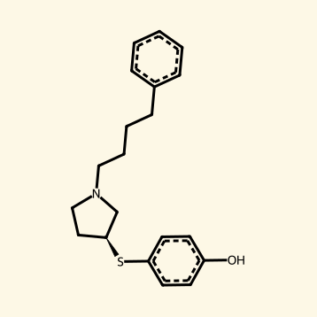 Oc1ccc(S[C@H]2CCN(CCCCc3ccccc3)C2)cc1